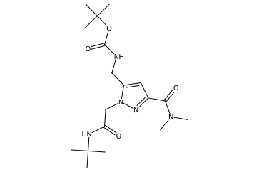 CN(C)C(=O)c1cc(CNC(=O)OC(C)(C)C)n(CC(=O)NC(C)(C)C)n1